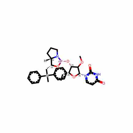 CC[C@H]1O[C@@H](n2ccc(=O)[nH]c2=O)C(OC)[C@H]1O[P@]1O[C@H](C[Si](C)(c2ccccc2)c2ccccc2)[C@@H]2CCCN21